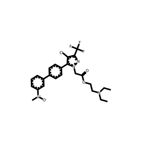 CCN(CC)CCOC(=O)Cn1nc(C(F)(F)F)c(Cl)c1-c1ccc(-c2cccc([S+](C)[O-])c2)cc1